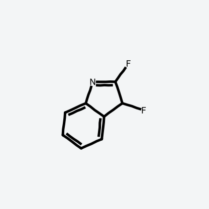 FC1=Nc2ccccc2C1F